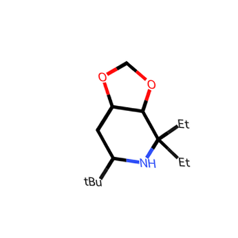 CCC1(CC)NC(C(C)(C)C)CC2OCOC21